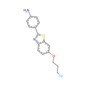 Nc1ccc(-c2nc3ccc(OCCC[18F])cc3s2)cc1